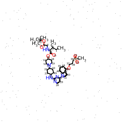 CC[C@@H](C)[C@@H](NCC(=O)OC(C)(C)C)C(=O)OC1CCN(C2CCC(Nc3nccc(-n4ccc5c(OCCCS(C)(=O)=O)cccc54)n3)CC2)CC1